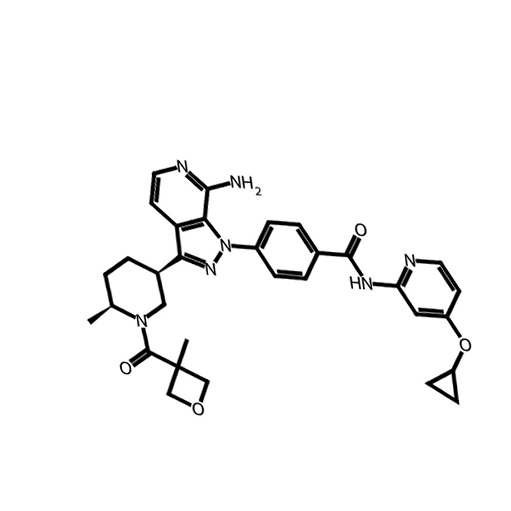 C[C@H]1CC[C@@H](c2nn(-c3ccc(C(=O)Nc4cc(OC5CC5)ccn4)cc3)c3c(N)nccc23)CN1C(=O)C1(C)COC1